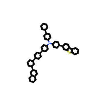 c1ccc(-c2ccc(N(c3ccc(-c4ccc(-c5cccc(-c6ccc7ccccc7c6)c5)cc4)cc3)c3ccc(-c4ccc5c(c4)sc4ccccc45)cc3)cc2)cc1